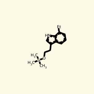 CCc1cccc2c(CCO[Si](C)(C)C)c[nH]c12